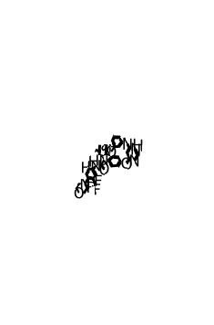 CC(C)(C)[Si](C)(C)Oc1cccc(Nc2cc(Oc3ccc(NC(=O)Nc4ccc(N5CCOCC5)c(C(F)(F)F)c4)cc3)ncn2)c1